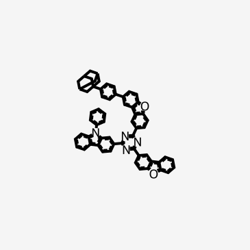 c1ccc(-n2c3ccccc3c3ccc(-c4nc(-c5ccc6oc7ccccc7c6c5)nc(-c5ccc6oc7ccc(-c8ccc(C9%10CC%11CC(CC(C%11)C9)C%10)cc8)cc7c6c5)n4)cc32)cc1